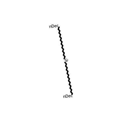 CCCCCCCCCCCCCCCCCCCCCCCCCCCC[Si]CCCCCCCCCCCCCCCCCCCCCCCCCCCC